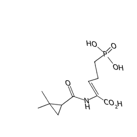 CC1(C)CC1C(=O)NC(=CCCP(=O)(O)O)C(=O)O